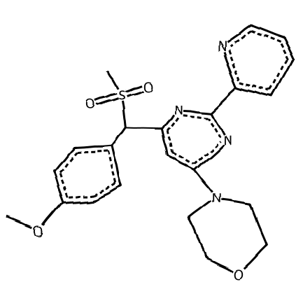 COc1ccc(C(c2cc(N3CCOCC3)nc(-c3ccccn3)n2)S(C)(=O)=O)cc1